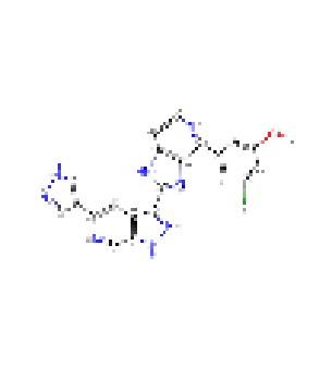 COc1cc(F)cc(-c2nccc3[nH]c(-c4n[nH]c5cnc(-c6cn[nH]c6)cc45)nc23)c1